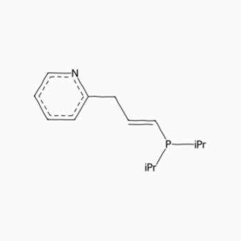 CC(C)P(C=CCc1ccccn1)C(C)C